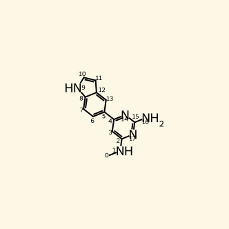 CNc1cc(-c2ccc3[nH]ccc3c2)nc(N)n1